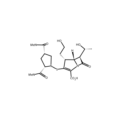 CNC(=O)[C@H]1C[C@@H](C(=O)NC)N(SC2=C(C(=O)O)N3C(=O)[C@H]([C@@H](C)O)[C@H]3[C@H]2CCO)C1